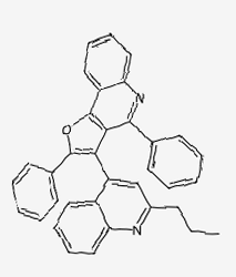 CCCc1cc(-c2c(-c3ccccc3)oc3c2c(-c2ccccc2)nc2ccccc23)c2ccccc2n1